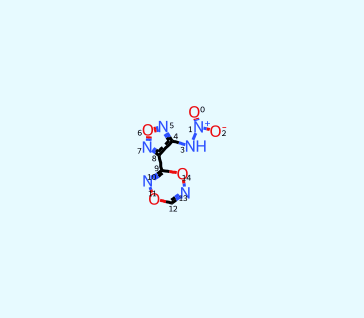 O=[N+]([O-])Nc1nonc1C1=NOC=NO1